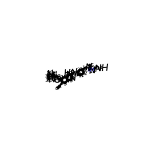 C#Cc1cc2cnc(Nc3cccc(CN(C)/C=N\C=N)c3)nc2cc1OCc1cnccn1